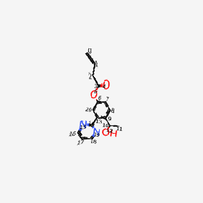 C=CCC(=O)Oc1ccc(C(C)O)c(-c2ncccn2)c1